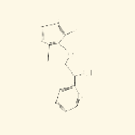 Cc1cccc(C)c1OCC(O)c1ccccn1